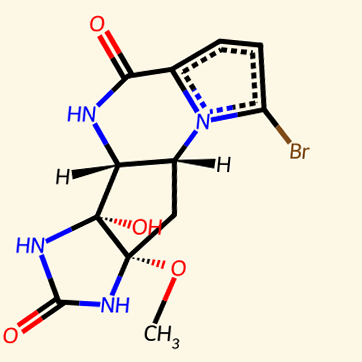 CO[C@@]12C[C@@H]3[C@@H](NC(=O)c4ccc(Br)n43)[C@]1(O)NC(=O)N2